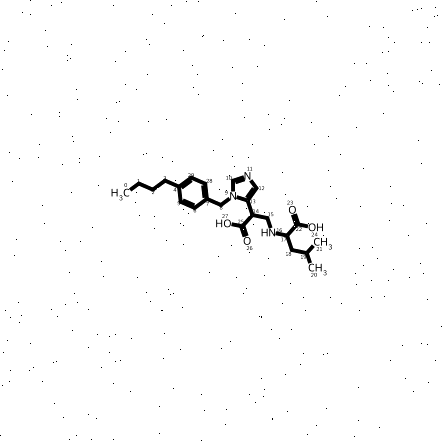 CCCCc1ccc(Cn2cncc2C(CNC(CC(C)C)C(=O)O)C(=O)O)cc1